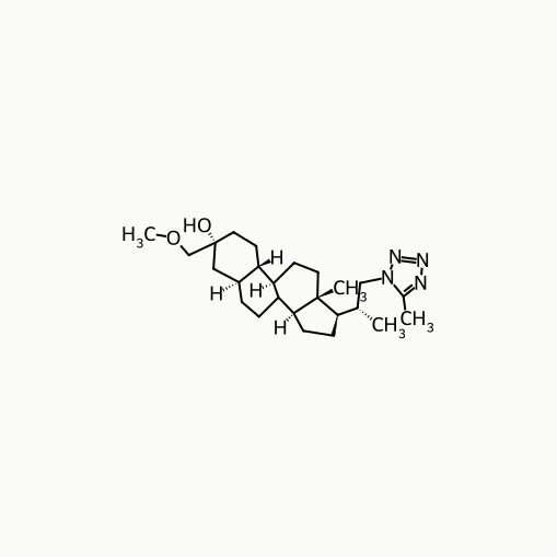 COC[C@@]1(O)CC[C@H]2[C@@H](CCC3[C@@H]2CC[C@]2(C)[C@@H]([C@@H](C)Cn4nnnc4C)CC[C@@H]32)C1